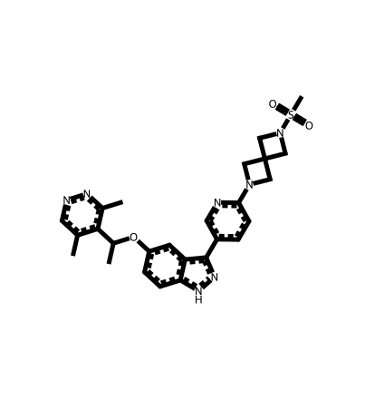 Cc1cnnc(C)c1C(C)Oc1ccc2[nH]nc(-c3ccc(N4CC5(C4)CN(S(C)(=O)=O)C5)nc3)c2c1